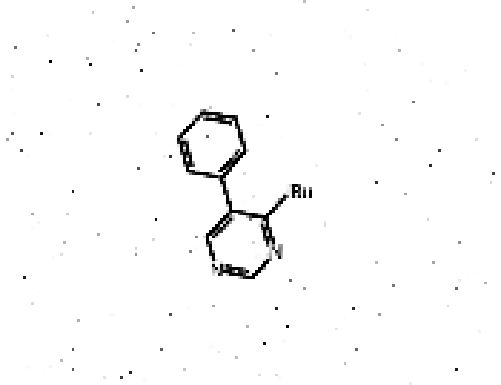 CCC(C)c1ncncc1-c1ccccc1